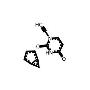 C#Cn1ccc(=O)[nH]c1=O.c1cc2cc-2c1